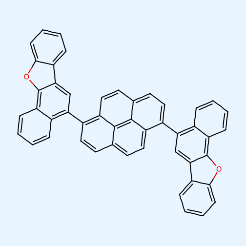 c1ccc2c(c1)oc1c3ccccc3c(-c3ccc4ccc5c(-c6cc7c8ccccc8oc7c7ccccc67)ccc6ccc3c4c65)cc21